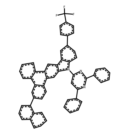 FC(F)(F)c1ccc(-c2ccc3c(c2)c2cc4c5ccccc5c5cc(-c6cccc7ccccc67)ccc5c4cc2n3-c2cc(-c3ccccc3)nc(-c3ccccc3)n2)cc1